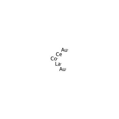 [Au].[Au].[Ce].[Co].[La]